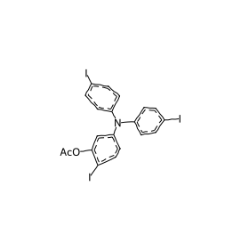 CC(=O)Oc1cc(N(c2ccc(I)cc2)c2ccc(I)cc2)ccc1I